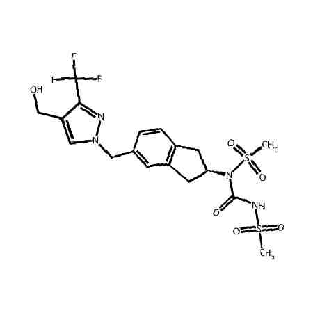 CS(=O)(=O)NC(=O)N([C@@H]1Cc2ccc(Cn3cc(CO)c(C(F)(F)F)n3)cc2C1)S(C)(=O)=O